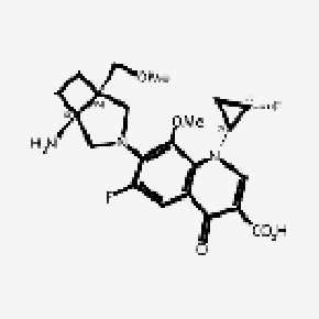 COC[C@]12CC[C@@]1(N)CN(c1c(F)cc3c(=O)c(C(=O)O)cn([C@@H]4C[C@@H]4F)c3c1OC)C2